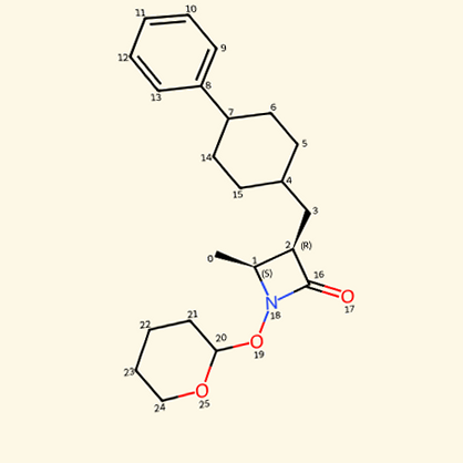 C[C@H]1[C@@H](CC2CCC(c3ccccc3)CC2)C(=O)N1OC1CCCCO1